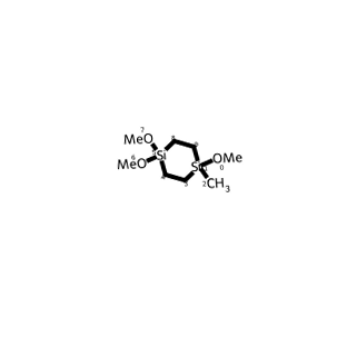 CO[Si]1(C)CC[Si](OC)(OC)CC1